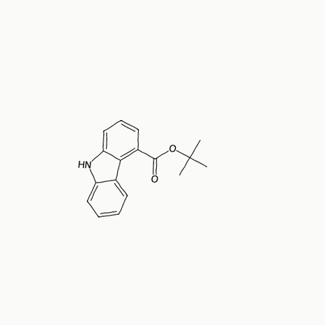 CC(C)(C)OC(=O)c1cccc2[nH]c3ccccc3c12